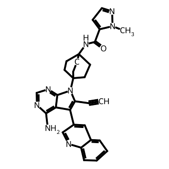 C#Cc1c(-c2cnc3ccccc3c2)c2c(N)ncnc2n1C12CCC(NC(=O)c3ccnn3C)(CC1)CC2